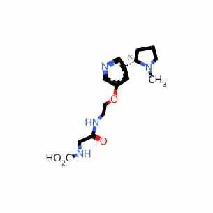 CN1CCC[C@H]1c1cncc(OCCNC(=O)CNC(=O)O)c1